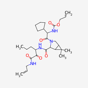 C=CCNC(=O)C(=O)C(CCC)NC(=O)C1C2C(CN1C(=O)C(NC(=O)OCC=C)C1CCCC1)C2(C)C